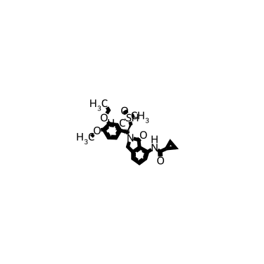 CCOc1cc([C@@H](C[SH](C)(C)=O)N2Cc3cccc(NC(=O)C4CC4)c3C2=O)ccc1OC